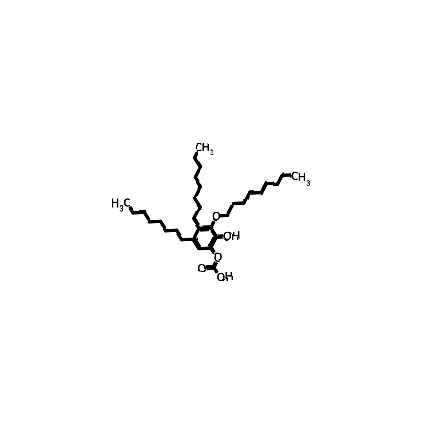 CCCCCCCCCOc1c(O)c(OC(=O)O)cc(CCCCCCCC)c1CCCCCCCC